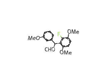 COc1cccc(C(C=O)c2c(OC)ccc(OC)c2F)c1